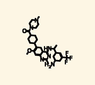 COC1=C(C2CCC(C(=O)N3CCN(C)CC3)CC2)CC2C(=C1)N=C(C)N=C2NC(C)C1C=C(C(F)(F)F)CC(N)C1